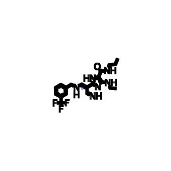 CCCNC(=O)c1[nH]c(/C(C=N)=C/NCc2cccc(C(F)(F)F)c2)nc1NCC